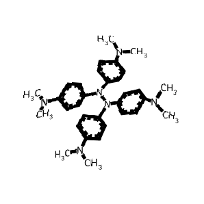 CN(C)c1ccc(N(c2ccc(N(C)C)cc2)N(c2ccc(N(C)C)cc2)c2ccc(N(C)C)cc2)cc1